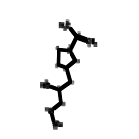 C=C(C)N1CCC(CC(O)COC(C)(C)C)C1